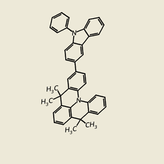 CC1(C)c2ccccc2N2c3ccc(-c4ccc5c(c4)c4ccccc4n5-c4ccccc4)cc3C(C)(C)c3cccc1c32